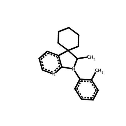 Cc1ccccc1N1c2ncccc2C2(CCCCC2)C1C